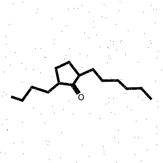 CCCCCCC1CCC(CCCC)C1=O